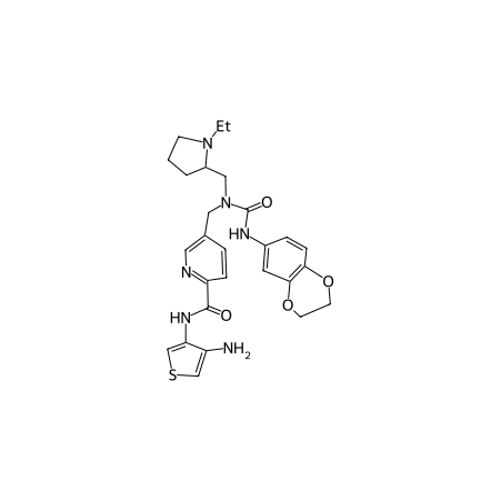 CCN1CCCC1CN(Cc1ccc(C(=O)Nc2cscc2N)nc1)C(=O)Nc1ccc2c(c1)OCCO2